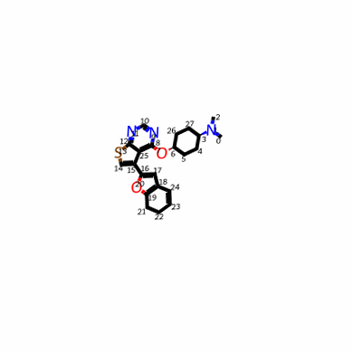 CN(C)[C@H]1CC[C@H](Oc2ncnc3scc(-c4cc5c(o4)CCC=C5)c23)CC1